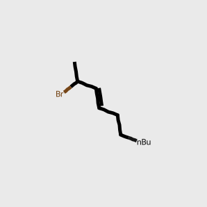 CCCCCCC=CC(C)Br